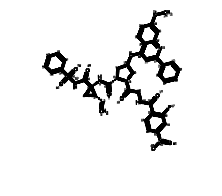 C=C[C@@H]1C[C@]1(NC(=O)[C@@H]1CC(Oc2cc(-c3ccccc3)nc3cc(OC)ccc23)CN1C(=O)CNC(=O)c1ccc([N+](=O)[O-])cc1F)C(=O)NS(=O)(=O)c1ccccc1